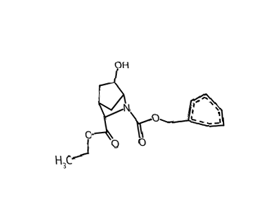 CCOC(=O)C1C2CC(O)C(C2)N1C(=O)OCc1ccccc1